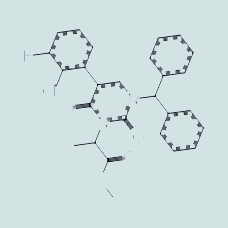 COC(=O)C(C)n1c(=O)c(-c2cccc(F)c2Cl)cn(C(c2ccccc2)c2ccccc2)c1=O